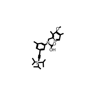 COc1c(C)cnc(CN(C(=O)O)c2cc(C)cc(C#C[Si](C(C)C)(C(C)C)C(C)C)c2)c1C